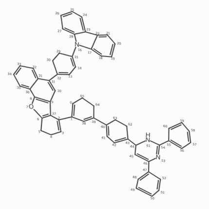 C1=C(C2=CCCc3oc4c(cc(C5=CC=C(n6c7ccccc7c7ccccc76)CC5)c5ccccc54)c32)C=C(C2=CC=C(C3C=C(c4ccccc4)N=C(c4ccccc4)N3)CC2)CC1